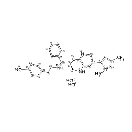 Cl.Cl.Cn1nc(C(F)(F)F)cc1-c1cnc2c(c1)NC[C@@H]([C@H](NCCc1ccc(C#N)cc1)c1ccccc1)O2